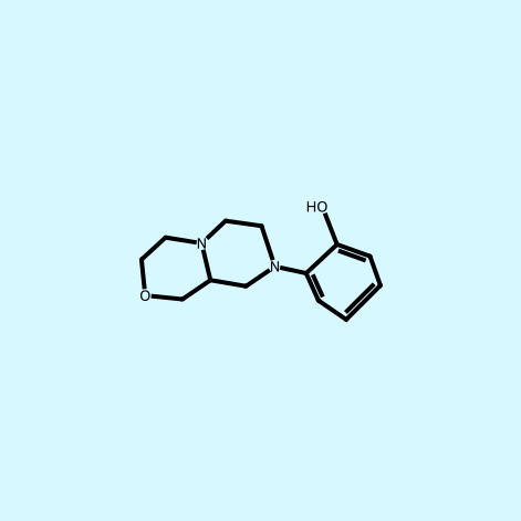 Oc1ccccc1N1CCN2CCOCC2C1